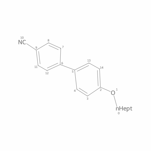 CCCCCCCOc1ccc(-c2ccc(C#N)cc2)cc1